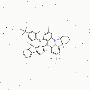 Cc1cc2c3c(c1)N1c4c(cc(C(C)(C)C)cc4C4(C)CCCCC14C)B3c1ccc3c(c1N2c1ccc(C(C)(C)C)cc1C)C(C)(C)c1ccccc1-3